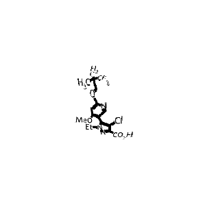 CCn1nc(C(=O)O)c(Cl)c1-c1cnc(OCC(C)(C)C(F)(F)F)cc1OC